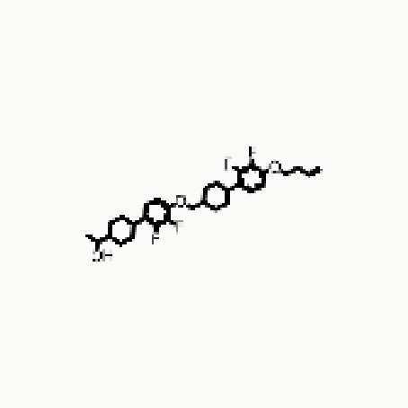 C=CCCOc1ccc(C2CCC(COc3ccc(C4CCC(C(C)O)CC4)c(F)c3F)CC2)c(F)c1F